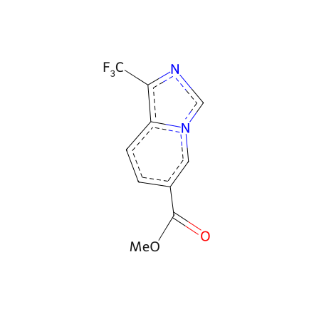 COC(=O)c1ccc2c(C(F)(F)F)ncn2c1